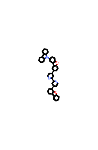 c1ccc2c(c1)oc1c(-c3ccnc(-c4cc(-c5ccc6oc7ccc(-n8c9ccccc9c9ccccc98)cc7c6c5)ccn4)c3)cccc12